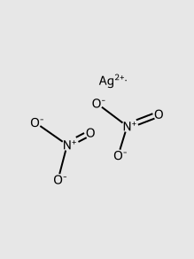 O=[N+]([O-])[O-].O=[N+]([O-])[O-].[Ag+2]